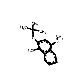 COc1cc(OC(C)(C)C)c(O)c2ccccc12